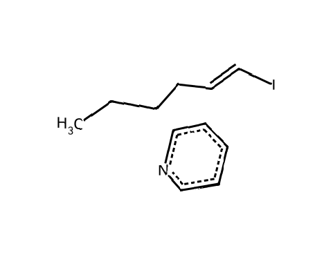 CCCCC=CI.c1ccncc1